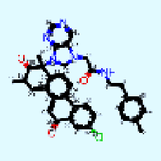 Cc1ccc(CCNC(=O)CN2CN(C3(C)C(=O)C(C)C=c4c3ccc3c4=CC(=O)c4cc(Cl)ccc4-3)c3ncncc32)cc1